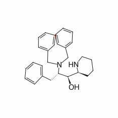 O[C@H]([C@@H]1CCCCN1)[C@H](Cc1ccccc1)N(Cc1ccccc1)Cc1ccccc1